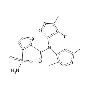 Cc1ccc(C)c(N(C(=O)c2sccc2S(N)(=O)=O)c2onc(C)c2Cl)c1